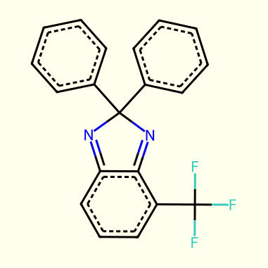 FC(F)(F)c1cccc2c1=NC(c1ccccc1)(c1ccccc1)N=2